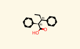 CC[C@@H](c1ccccc1)[C@@H](C(=O)O)c1ccccc1